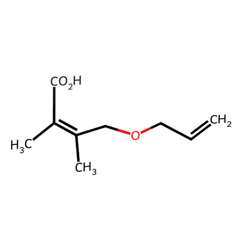 C=CCOC/C(C)=C(/C)C(=O)O